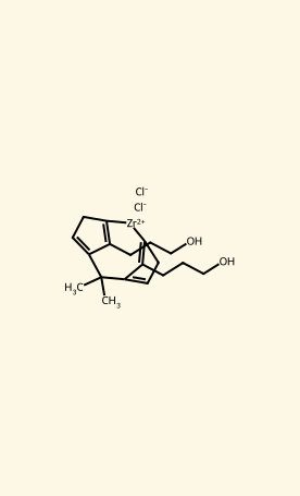 CC1(C)C2=CC[C](=C2CCCO)[Zr+2][C]2=C(CCCO)C1=CC2.[Cl-].[Cl-]